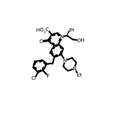 CCN1CCN(c2cc3c(cc2Cc2cccc(Cl)c2F)c(=O)c(C(=O)O)cn3[C@H](CO)C(C)C)CC1